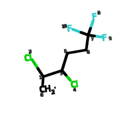 [CH2]C(Cl)C(Cl)CCC(F)(F)F